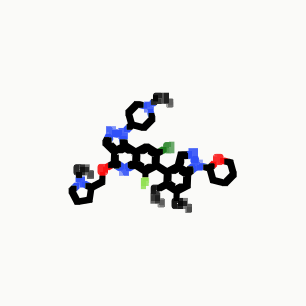 Cc1cc2c(cnn2C2CCCCO2)c(-c2c(Cl)cc3c(nc(OCC4CCCN4C)c4cnn(C5CCN(C)CC5)c43)c2F)c1C